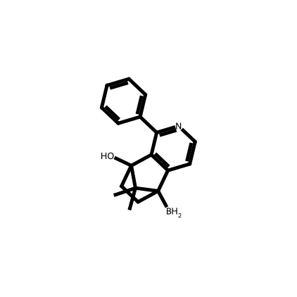 BC12CCC(O)(c3c1ccnc3-c1ccccc1)C2(C)C